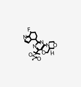 CC(C)(c1nc(C2CCC(F)C3=NC=CC32)nc2c1OC[C@@H]1COCCN21)S(C)(=O)=O